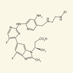 CCNCCNCc1cnc(Nc2ncc(F)c(-c3cc(F)c4nc(C)n([C@H](C)CC(=O)O)c4c3)n2)cc1N